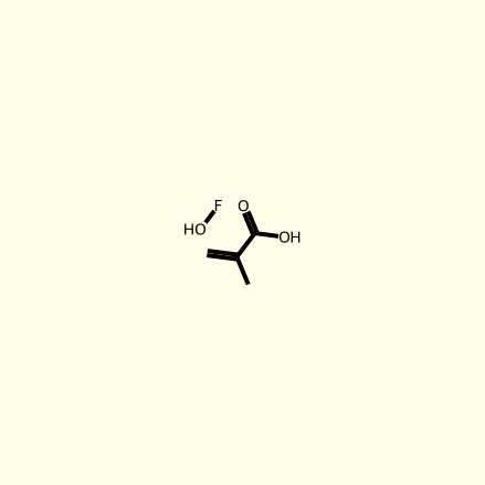 C=C(C)C(=O)O.OF